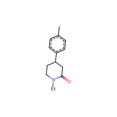 CCN1CCC(c2ccc(C)cc2)CC1=O